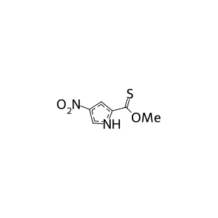 COC(=S)c1cc([N+](=O)[O-])c[nH]1